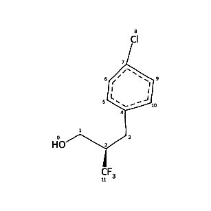 OC[C@@H](Cc1ccc(Cl)cc1)C(F)(F)F